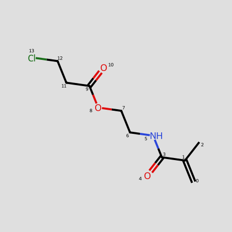 C=C(C)C(=O)NCCOC(=O)CCCl